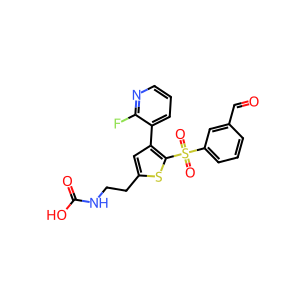 O=Cc1cccc(S(=O)(=O)c2sc(CCNC(=O)O)cc2-c2cccnc2F)c1